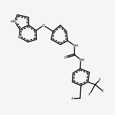 O=C(Nc1ccc(Oc2ccnc3[nH]ccc23)cc1)Nc1ccc(CF)c(C(F)(F)F)c1